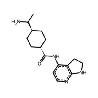 CC(N)[C@H]1CC[C@H](C(=O)Nc2ccnc3c2CCN3)CC1